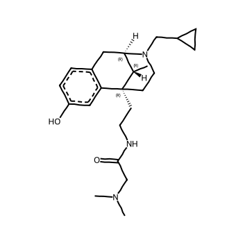 C[C@H]1[C@H]2Cc3ccc(O)cc3[C@]1(CCNC(=O)CN(C)C)CCN2CC1CC1